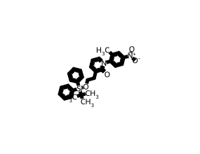 Cc1cc([N+](=O)[O-])ccc1-n1cccc(CCO[Si](c2ccccc2)(c2ccccc2)C(C)(C)C)c1=O